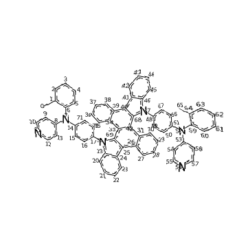 Cc1ccccc1N(c1ccncc1)c1ccc(-n2c3ccccc3c3c4ccccc4c4c(c5ccccc5c5c6ccccc6n(-c6ccc(N(c7ccncc7)c7ccccc7C)cc6)c54)c32)cc1